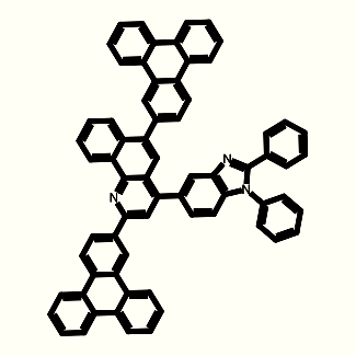 c1ccc(-c2nc3cc(-c4cc(-c5ccc6c7ccccc7c7ccccc7c6c5)nc5c4cc(-c4ccc6c7ccccc7c7ccccc7c6c4)c4ccccc45)ccc3n2-c2ccccc2)cc1